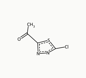 CC(=O)c1nnc(Cl)s1